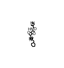 O=C(NC1COC2C1OCC2n1cc(CC2CCCCC2)nn1)C1=CN=NC1